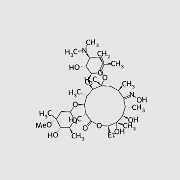 C=CCO[C@]1(C)C[C@@H](C)/C(=N/O)[C@H](C)[C@@H](O)[C@](C)(O)[C@@H](CC)OC(=O)[C@H](C)[C@@H](OC2C[C@@](C)(OC)[C@@H](O)[C@H](C)O2)[C@H](C)[C@H]1O[C@@H]1O[C@H](C)C[C@H](N(C)C)[C@H]1O